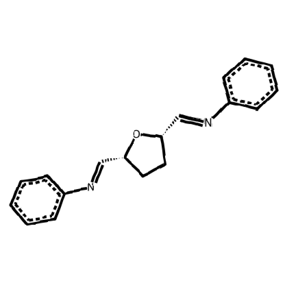 C(=N\c1ccccc1)/[C@@H]1CC[C@H](/C=N/c2ccccc2)O1